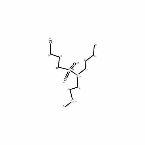 CCCCN(CCOC)S(=O)(=O)CCCCl